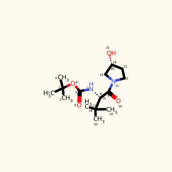 CC(C)(C)OC(=O)N[C@H](C(=O)N1CC[C@@H](O)C1)C(C)(C)C